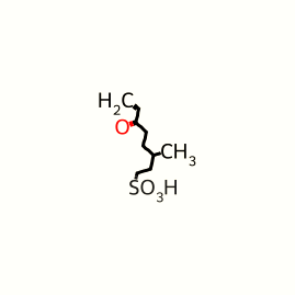 C=CC(=O)CCC(C)CCS(=O)(=O)O